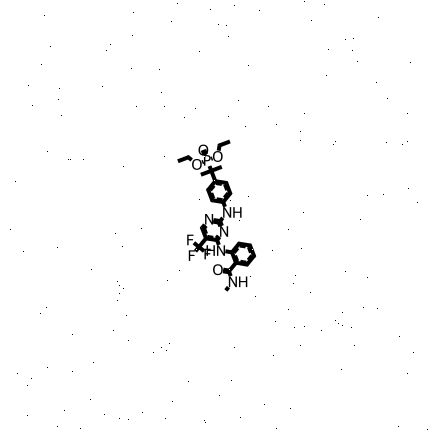 CCOP(=O)(OCC)C(C)(C)c1ccc(Nc2ncc(C(F)(F)F)c(Nc3ccccc3C(=O)NC)n2)cc1